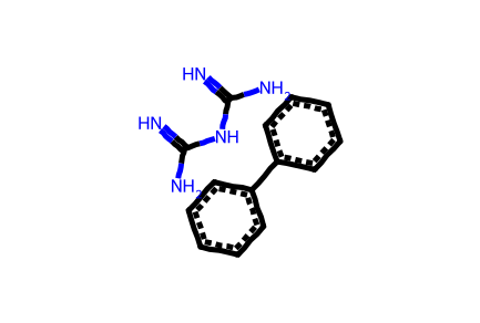 N=C(N)NC(=N)N.c1ccc(-c2ccccc2)cc1